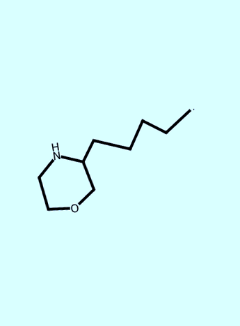 [CH2]CCCCC1COCCN1